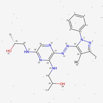 Cc1nn(-c2ccccc2)c(N=Nc2ncc(NC[C@@H](C)O)nc2NCC(C)O)c1C#N